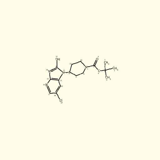 CC(C)(C)OC(=O)N1CCC(n2c(O)nc3ncc(Cl)cc32)CC1